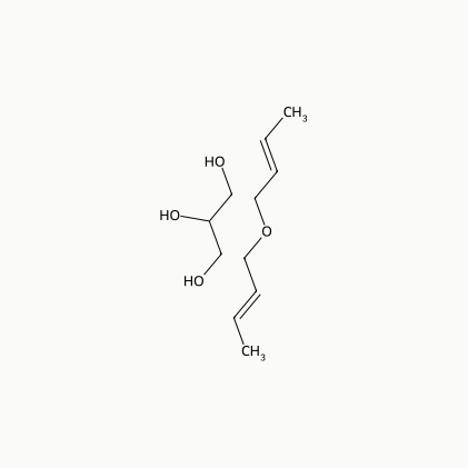 CC=CCOCC=CC.OCC(O)CO